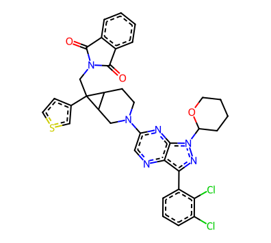 O=C1c2ccccc2C(=O)N1CC1(c2ccsc2)C2CCN(c3cnc4c(-c5cccc(Cl)c5Cl)nn(C5CCCCO5)c4n3)CC21